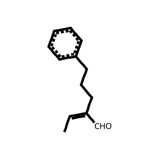 CC=C(C=O)CCCc1ccccc1